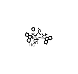 CCOC(=C\C=C1/N(CCOC=O)c2c(c3ccccc3c3ccccc23)C1(C)C)/C=C/C1=[N+](CCC(=O)O)c2c(c3ccccc3c3ccccc23)C1(C)Cc1ccccc1